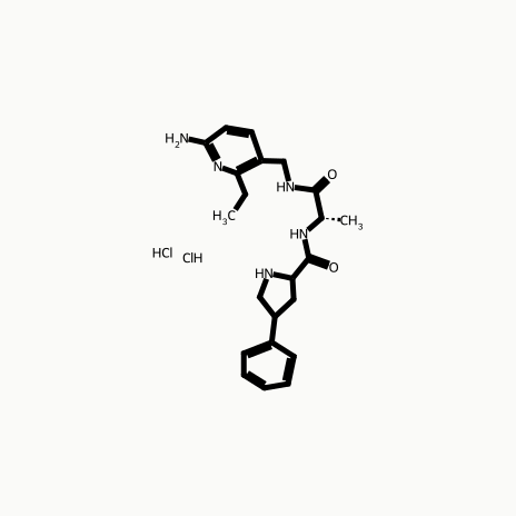 CCc1nc(N)ccc1CNC(=O)[C@H](C)NC(=O)C1CC(c2ccccc2)CN1.Cl.Cl